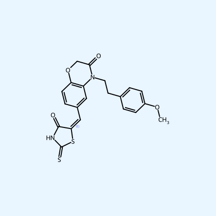 COc1ccc(CCN2C(=O)COc3ccc(/C=C4/SC(=S)NC4=O)cc32)cc1